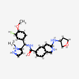 COc1ccc(C(NC(=O)c2ccc3cnc(NC4CCOC4)cc3c2)c2ccnn2C)cc1F